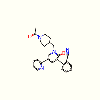 CC(=O)N1CCC(Cn2cc(-c3ccccn3)cc(-c3ccccc3C#N)c2=O)CC1